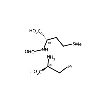 CC(C)C[C@H](N)C(=O)O.CSCC[C@H](NC=O)C(=O)O